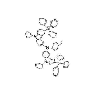 Fc1ccc(N(c2ccc3c(c2)c2cc([Si](c4ccccc4)(c4ccccc4)c4ccccc4)ccc2n3-c2ccccc2)c2ccc3c(c2)c2cc([Si](c4ccccc4)(c4ccccc4)c4ccccc4)ccc2n3-c2ccccc2)cc1